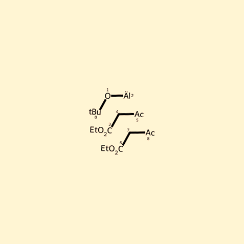 CC(C)(C)[O][Al].CCOC(=O)CC(C)=O.CCOC(=O)CC(C)=O